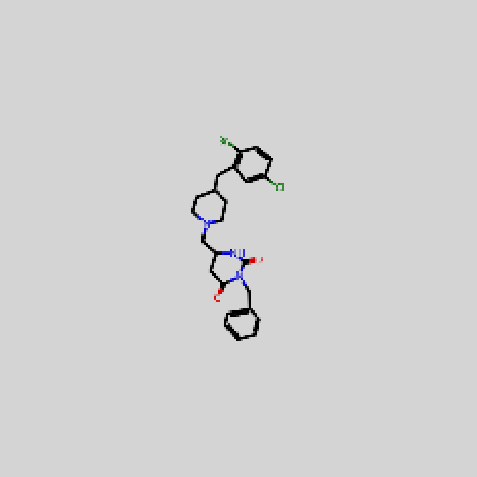 O=C1CC(CN2CCC(Cc3cc(Cl)ccc3Br)CC2)NC(=O)N1Cc1ccccc1